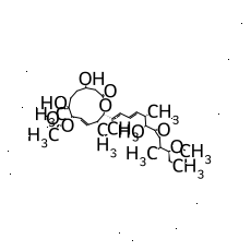 CC[C@H](OC)[C@@H](C)[C@H]1O[C@@H]1[C@H](O)[C@@H](C)/C=C/C=C(\C)[C@H]1OC(=O)C[C@H](O)CC[C@@](C)(O)[C@@H](OC(C)=O)/C=C/[C@@H]1C